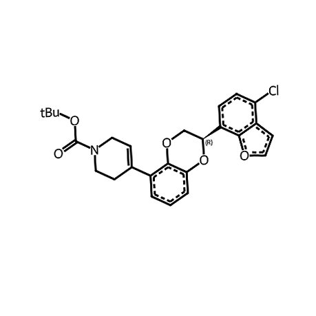 CC(C)(C)OC(=O)N1CC=C(c2cccc3c2OC[C@@H](c2ccc(Cl)c4ccoc24)O3)CC1